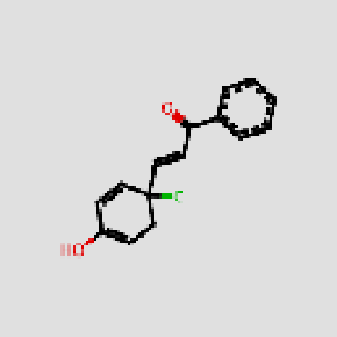 O=C(C=CC1(Cl)C=CC(O)=CC1)c1ccccc1